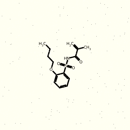 C=C(C)C(=O)NS(=O)(=O)c1ccccc1OCCCC